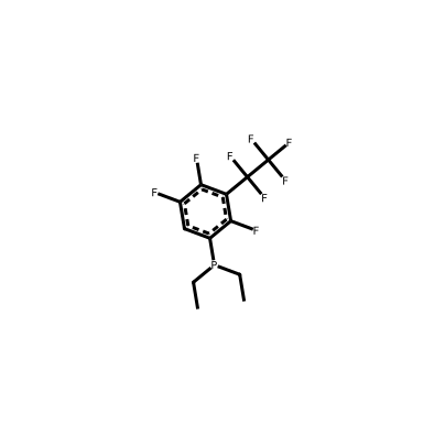 CCP(CC)c1cc(F)c(F)c(C(F)(F)C(F)(F)F)c1F